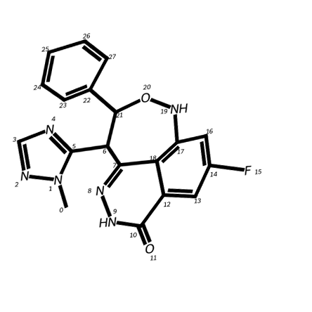 Cn1ncnc1C1c2n[nH]c(=O)c3cc(F)cc(c23)NOC1c1ccccc1